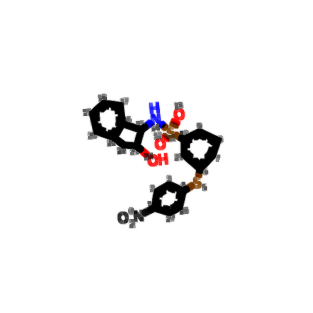 O=[N+]([O-])c1ccc(Sc2cccc(S(=O)(=O)NC3c4ccccc4CC3O)c2)cc1